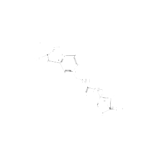 O=C(NCc1ccnc(CC(F)(F)F)c1)NC1CC2(F)CC1C2